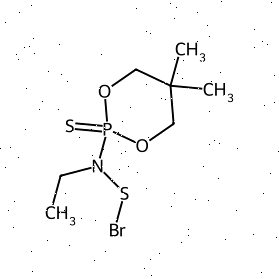 CCN(SBr)P1(=S)OCC(C)(C)CO1